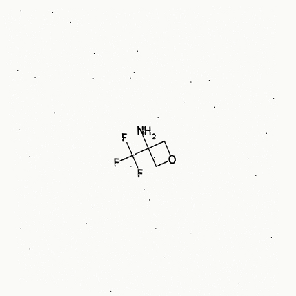 NC1(C(F)(F)F)COC1